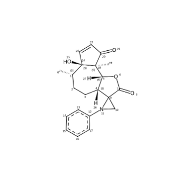 C[C@H]1CC[C@@H]2[C@@H](OC(=O)C23CN3c2ccccc2)[C@]2(C)C(=O)C=C[C@@]12O